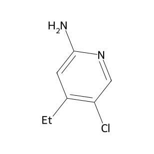 CCc1cc(N)ncc1Cl